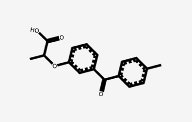 Cc1ccc(C(=O)c2cccc(OC(C)C(=O)O)c2)cc1